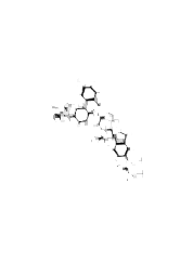 CNC(=O)Nc1ccc2c(c1)CC[C@@]21OC(=O)N(CC(=O)N(Cc2ccc(F)cc2)C2CCC(NS(C)(=O)=O)CC2)C1=O